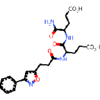 NC(=O)C(CCC(=O)O)NC(=O)C(CCC(=O)O)NC(=O)CCc1cc(-c2ccccc2)no1